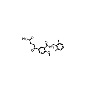 COc1ccc(C(=O)CCC(=O)O)cc1C(=O)NCc1c(C)cccc1C